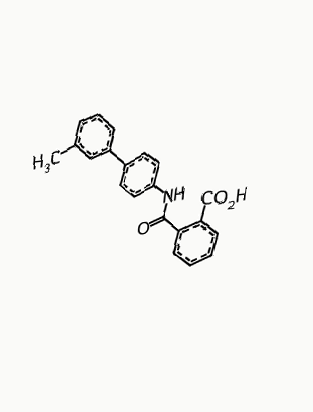 Cc1cccc(-c2ccc(NC(=O)c3ccccc3C(=O)O)cc2)c1